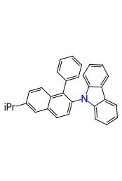 CC(C)c1ccc2c(-c3ccccc3)c(-n3c4ccccc4c4ccccc43)ccc2c1